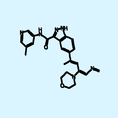 C=N/C=C(\C=C(/C)c1ccc2[nH]nc(C(=O)Nc3cncc(C)c3)c2c1)N1CCOCC1